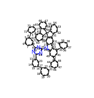 c1ccc(-c2cccc(-c3nc(-c4cccc(-c5ccccc5)c4)nc(-n4c5cc6c(cc5c5c(-c7ccccc7)cc(-c7ccccc7)cc54)-c4ccccc4C64c5ccccc5-c5ccccc54)n3)c2)cc1